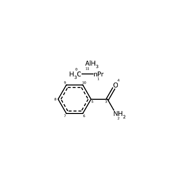 CCCC.NC(=O)c1ccccc1.[AlH3]